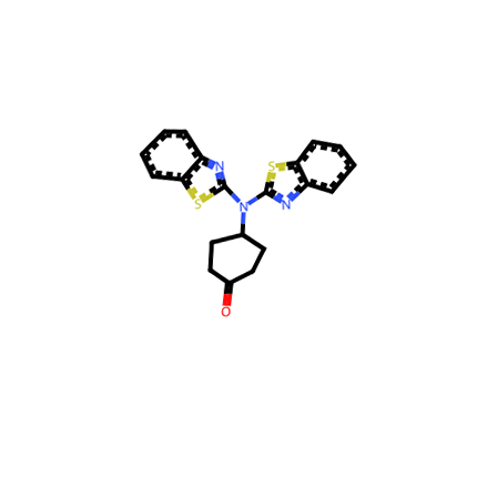 O=C1CCC(N(c2nc3ccccc3s2)c2nc3ccccc3s2)CC1